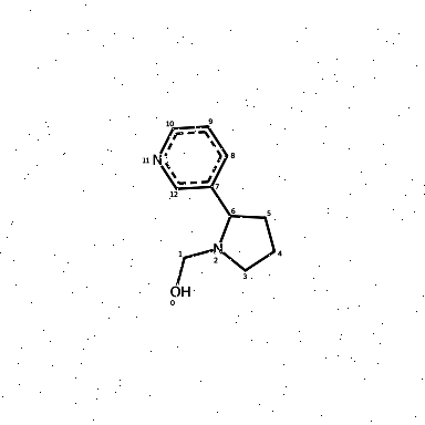 OCN1CCCC1c1cccnc1